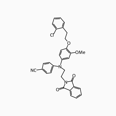 COc1cc(N(CCN2C(=O)c3ccccc3C2=O)c2ccc(C#N)cc2)ccc1OCCc1ccccc1Cl